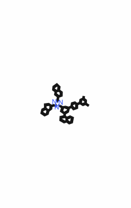 Cc1cc(C)cc(-c2ccc(-c3cc(-c4nc(-c5ccc6ccccc6c5)nc(-c5ccc6ccccc6c5)n4)cc(-c4cccc5ccccc45)c3)cc2)c1